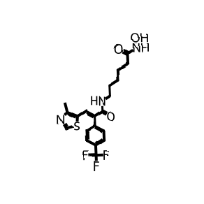 Cc1ncsc1/C=C(/C(=O)NCCCCCC(=O)NO)c1ccc(C(F)(F)F)cc1